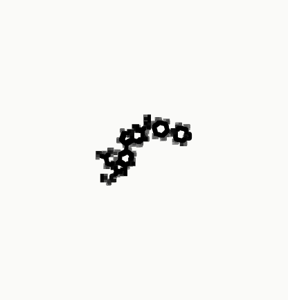 Cc1nc2ncc(-c3ccn4nc(N[C@H]5CC[C@@H](N6CCOCC6)CC5)ncc34)cc2n1CC(F)F